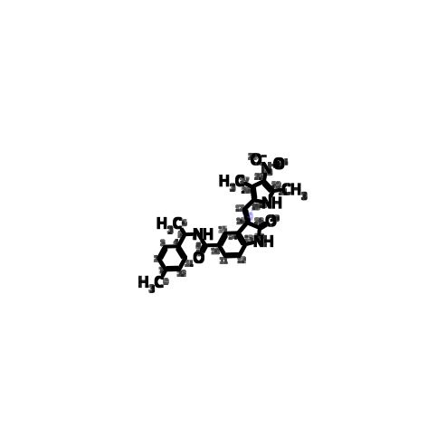 Cc1ccc(C(C)NC(=O)c2ccc3c(c2)/C(=C/c2[nH]c(C)c([N+](=O)[O-])c2C)C(=O)N3)cc1